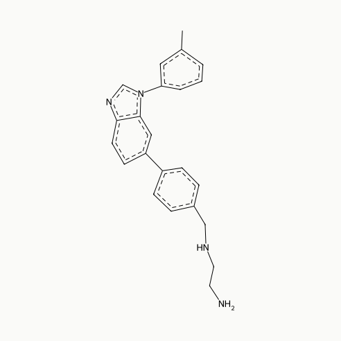 Cc1cccc(-n2cnc3ccc(-c4ccc(CNCCN)cc4)cc32)c1